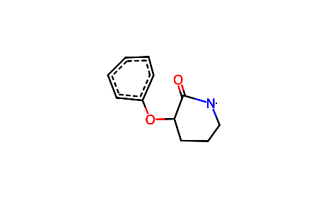 O=C1[N]CCCC1Oc1ccccc1